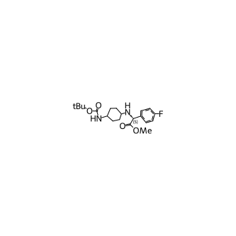 COC(=O)[C@@H](NC1CCC(NC(=O)OC(C)(C)C)CC1)c1ccc(F)cc1